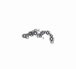 C/C(=C\C(=O)N1CCN(Cc2ccc(CCOc3ccc(Cl)cc3)cc2)CC1)c1cc(C)c(Oc2ccc(OCc3ccccc3Cl)cn2)c(Cl)c1